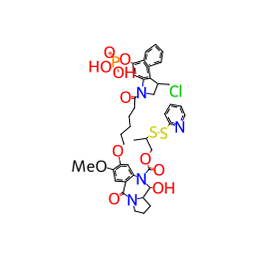 COc1cc2c(cc1OCCCCCC(=O)N1CC(CCl)c3c1cc(OP(=O)(O)O)c1ccccc31)N(C(=O)OCC(C)SSc1ccccn1)C(O)C1CCCN1C2=O